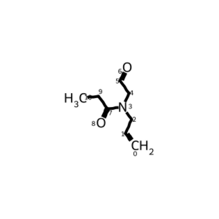 C=CCN(CC=O)C(=O)CC